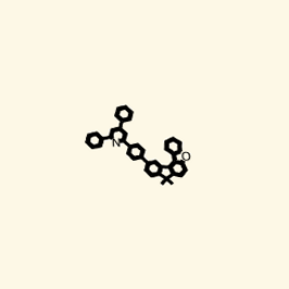 CC1(C)c2ccc(-c3ccc(-c4cc(-c5ccccc5)cc(-c5ccccc5)n4)cc3)cc2-c2c1ccc1oc3ccccc3c21